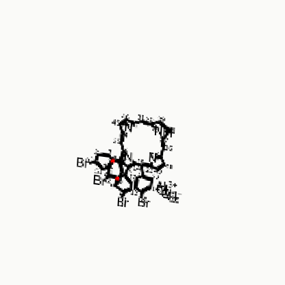 Brc1ccc(-c2c(-c3ccc(Br)cc3)c3c(-c4ccc(Br)cc4)c4nc(cc5ccc(cc6nc(cc2n3-c2ccc(Br)cc2)C=C6)[nH]5)C=C4)cc1.[Al+3].[Cl-].[Cl-].[Cl-]